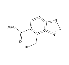 COC(=O)c1ccc2nonc2c1CBr